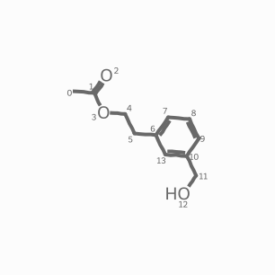 CC(=O)OCCc1cccc(CO)c1